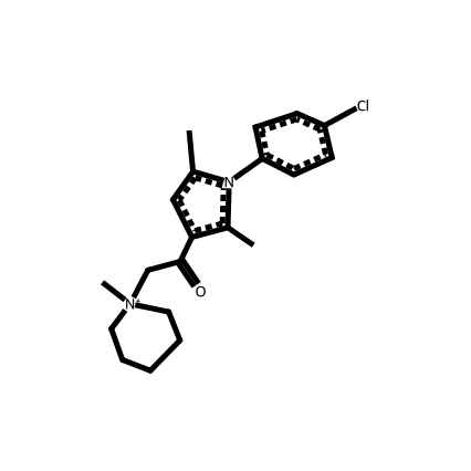 Cc1cc(C(=O)C[N+]2(C)CCCCC2)c(C)n1-c1ccc(Cl)cc1